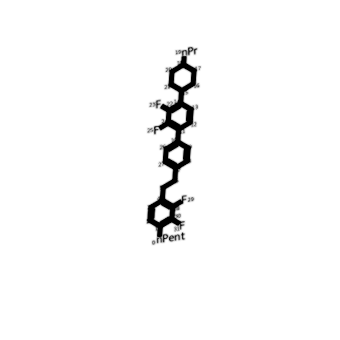 CCCCCc1ccc(CCc2ccc(-c3ccc(C4CCC(CCC)CC4)c(F)c3F)cc2)c(F)c1F